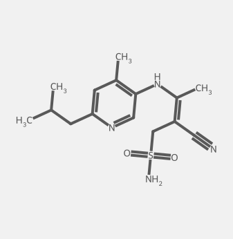 CC(Nc1cnc(CC(C)C)cc1C)=C(C#N)CS(N)(=O)=O